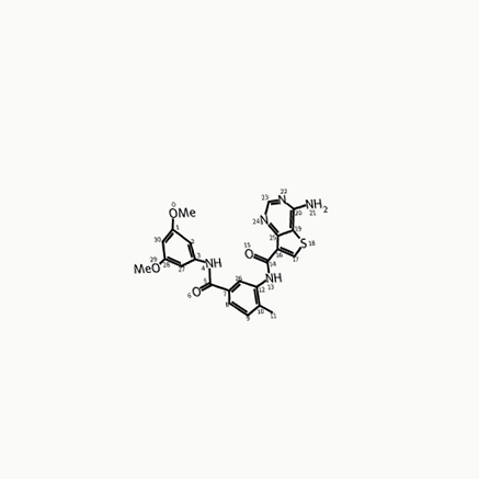 COc1cc(NC(=O)c2ccc(C)c(NC(=O)c3csc4c(N)ncnc34)c2)cc(OC)c1